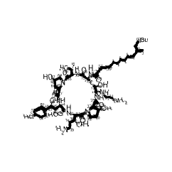 CCC(C)CC(C)CCCCCCCCC(=O)N[C@H]1C[C@@H](O)[C@@H](NCCN)NC(=O)[C@@H]2[C@@H](O)CCN2C(=O)[C@H]([C@H](O)CCN)NC(=O)[C@H]([C@H](O)[C@@H](O)C2C=CC(O)=CC2)NC(=O)[C@@H]2C[C@@H](O)CN2C(=O)[C@H]([C@@H](C)O)NC1=O